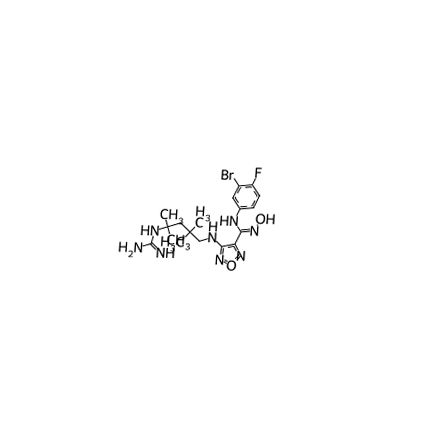 CC(C)(CNc1nonc1/C(=N/O)Nc1ccc(F)c(Br)c1)CC(C)(C)NC(=N)N